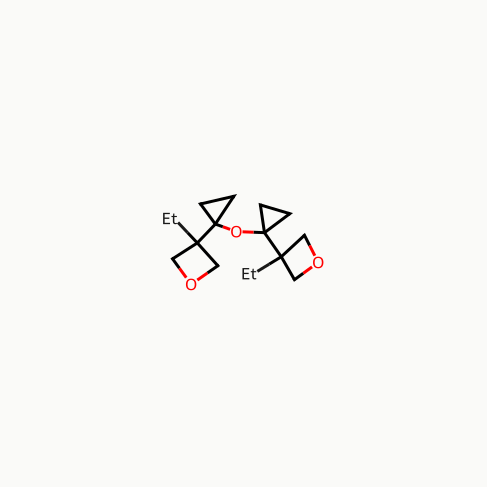 CCC1(C2(OC3(C4(CC)COC4)CC3)CC2)COC1